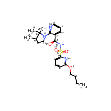 CCCCOc1cccc(S(=O)(=O)NC(=O)c2cccnc2N2CCC(C)C2(C)C)n1